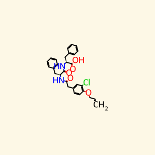 C=CCOc1ccc(CC(=O)N[C@@H](Cc2ccccc2)C(=O)N[C@@H](Cc2ccccc2)C(=O)O)cc1Cl